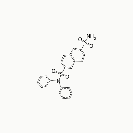 NS(=O)(=O)c1ccc2cc(S(=O)(=O)N(c3ccccc3)c3ccccc3)ccc2c1